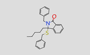 CCCCCC1(SCc2ccccc2)c2ccccc2C(=O)N1Cc1ccccc1